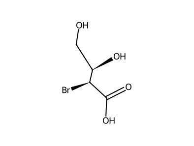 O=C(O)[C@@H](Br)[C@H](O)CO